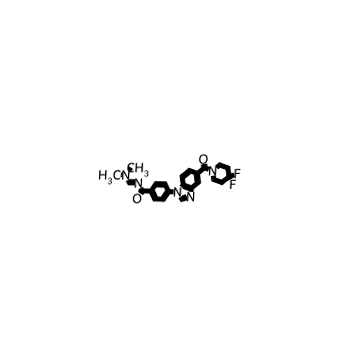 CN(C)/C=N/C(=O)c1ccc(-n2cnc3cc(C(=O)N4CCC(F)(F)CC4)ccc32)cc1